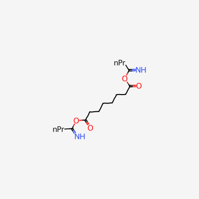 CCCC(=N)OC(=O)CCCCCCC(=O)OC(=N)CCC